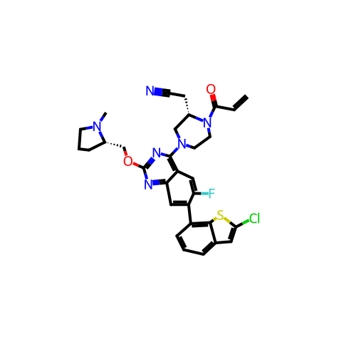 C=CC(=O)N1CCN(c2nc(OC[C@@H]3CCCN3C)nc3cc(-c4cccc5cc(Cl)sc45)c(F)cc23)C[C@@H]1CC#N